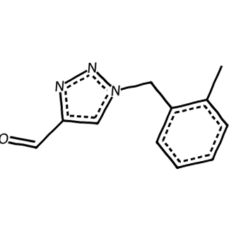 Cc1ccccc1Cn1cc(C=O)nn1